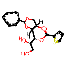 OC[C@@H](O)[C@H]1OC(c2cccs2)O[C@H]2COC(c3ccccc3)O[C@@H]12